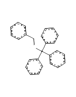 c1ccc(CPC(c2ccccc2)(c2ccccc2)c2ccccc2)cc1